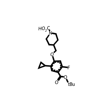 CC(C)(C)OC(=O)c1cc(C2CC2)c(OCC2CCN(C(=O)O)CC2)cc1F